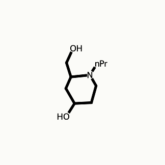 CCCN1CCC(O)CC1CO